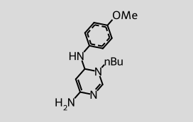 CCCCN1C=NC(N)=CC1Nc1ccc(OC)cc1